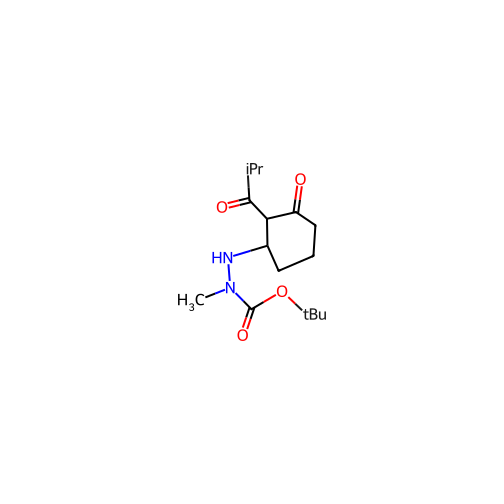 CC(C)C(=O)C1C(=O)CCCC1NN(C)C(=O)OC(C)(C)C